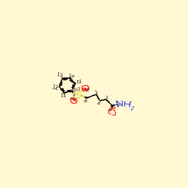 NC(=O)CCCCS(=O)(=O)c1ccccc1